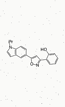 CC(C)n1ccc2cc(-c3cc(-c4ccccc4O)no3)ccc21